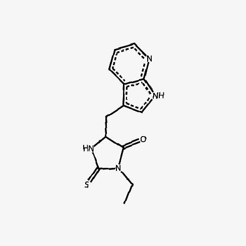 CCN1C(=O)C(Cc2c[nH]c3ncccc23)NC1=S